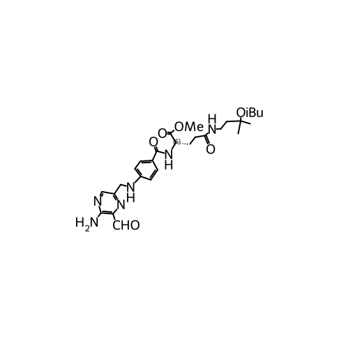 COC(=O)[C@H](CCC(=O)NCCC(C)(C)OCC(C)C)NC(=O)c1ccc(NCc2cnc(N)c(C=O)n2)cc1